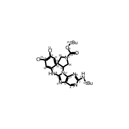 CC(C)(C)Nc1ncc2nc(Nc3ccc(Cl)c(Cl)c3)n(C3CCN(C(=O)OC(C)(C)C)C3)c2n1